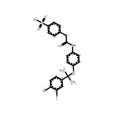 CCS(=O)(=O)c1ccc(CC(=O)Nc2ccc(OC(C)(C)c3ccc(Cl)c(F)c3)cc2)cc1